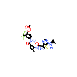 CC(=O)OCc1ccc(NC(=O)c2ccc(C)c(NC(=O)c3csc4c(NC5CC5)ncnc34)c2)cc1C(F)(F)F